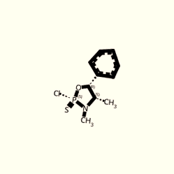 C[C@H]1[C@@H](c2ccccc2)O[P@@](=S)(Cl)N1C